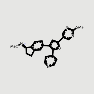 CO/N=C1\CCc2cc(-c3cc(-c4cnc(SC)nc4)oc3-c3ccncc3)ccc21